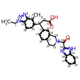 CCn1nnc2c(C)c(C(CC(=O)O)c3ccc4c(c3)CN(C(=O)c3nc5ccccc5[nH]3)CC4)ccc21